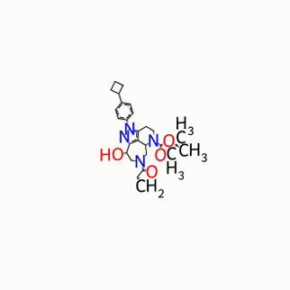 C=CC(=O)N1CC(O)c2nn(-c3ccc(C4CCC4)cc3)c3c2C(C1)N(C(=O)OC(C)(C)C)CC3